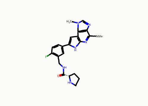 CNc1nc2[nH]c(-c3ccc(F)c(CNC(=O)[C@@H]4CCCN4)c3)cc2c2c1ncn2C